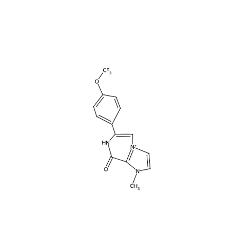 Cn1cc[n+]2cc(-c3ccc(OC(F)(F)F)cc3)[nH]c(=O)c12